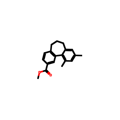 COC(=O)c1ccc2c(c1)-c1c(C)cc(C)cc1CCC2